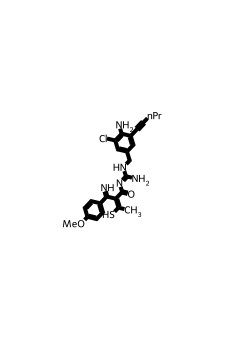 CCCC#Cc1cc(CN/C(N)=N/C(=O)/C(C(=N)c2ccc(OC)cc2)=C(\C)S)cc(Cl)c1N